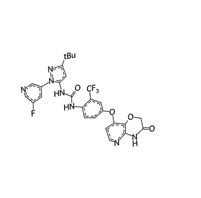 CC(C)(C)c1cc(NC(=O)Nc2ccc(Oc3ccnc4c3OCC(=O)N4)cc2C(F)(F)F)n(-c2cncc(F)c2)n1